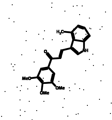 COc1cc(C(=O)C=Cc2c[nH]c3cccc(C)c23)cc(OC)c1OC